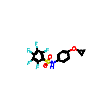 O=S(=O)(Nc1ccc(OC2CC2)cc1)c1c(F)c(F)c(F)c(F)c1F